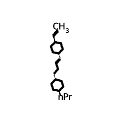 CC=C[C@H]1CC[C@H](C=CCC[C@H]2CC[C@H](CCC)CC2)CC1